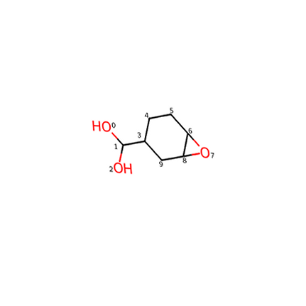 OC(O)C1CCC2OC2C1